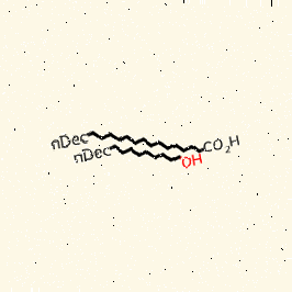 CCCCCCCCCCCCCCCCCCCCCCCCC(=O)O.CCCCCCCCCCCCCCCCCCCO